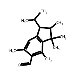 Cc1cc2c(c(C)c1C=O)C(C)(C)C(C)C2C(C)C